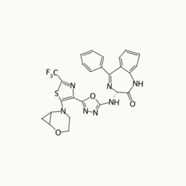 O=C1Nc2ccccc2C(c2ccccc2)=N[C@H]1Nc1nnc(-c2nc(C(F)(F)F)sc2N2CCOC3CC32)o1